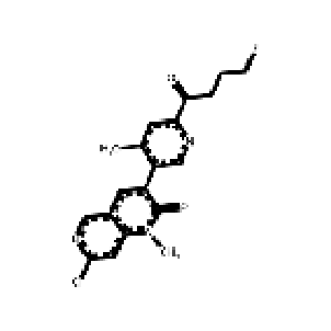 Cc1cc(C(=O)CCCF)ncc1-c1cc2cnc(Cl)cc2n(C)c1=O